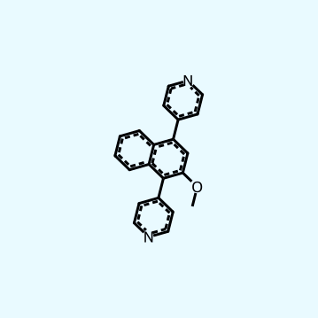 COc1cc(-c2ccncc2)c2ccccc2c1-c1ccncc1